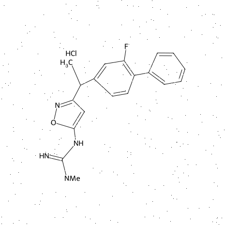 CNC(=N)Nc1cc(C(C)c2ccc(-c3ccccc3)c(F)c2)no1.Cl